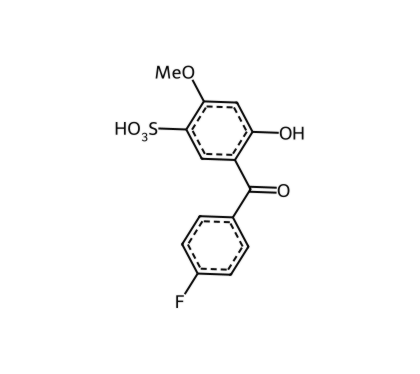 COc1cc(O)c(C(=O)c2ccc(F)cc2)cc1S(=O)(=O)O